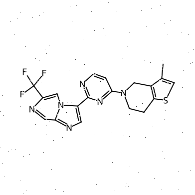 Cc1csc2c1CN(c1ccnc(-c3cnc4cnc(C(F)(F)F)cn34)n1)CC2